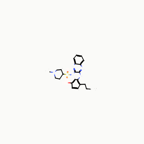 COCCc1ccc(O)cc1Nc1nc2ccccc2nc1NS(=O)(=O)C1CCN(C(C)=O)CC1